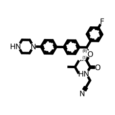 CC(C)C[C@H](O[C@@H](c1ccc(F)cc1)c1ccc(-c2ccc(N3CCNCC3)cc2)cc1)C(=O)NCC#N